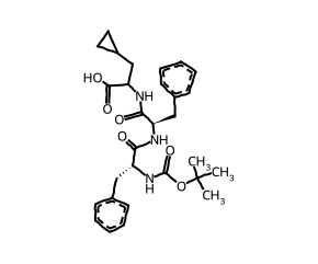 CC(C)(C)OC(=O)N[C@H](Cc1ccccc1)C(=O)N[C@H](Cc1ccccc1)C(=O)NC(CC1CC1)C(=O)O